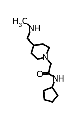 CNCC1CCN(CC(=O)NC2CCCC2)CC1